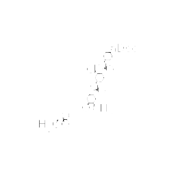 C=CC(=O)OCCCCOc1ccc(C(=O)Oc2ccc(C(=O)Oc3ccc(CCCCCCCCCC)cc3)c(Cl)c2)cc1C